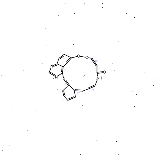 O=C1/C=C\COc2ccc3ncnc(c3c2)/N=c2/cccc/c2=C/C=C\N1